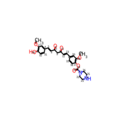 COc1cc(C=CC(=O)CC(=O)C=Cc2ccc(OC(=O)N3CCNCC3)c(OC)c2)ccc1O